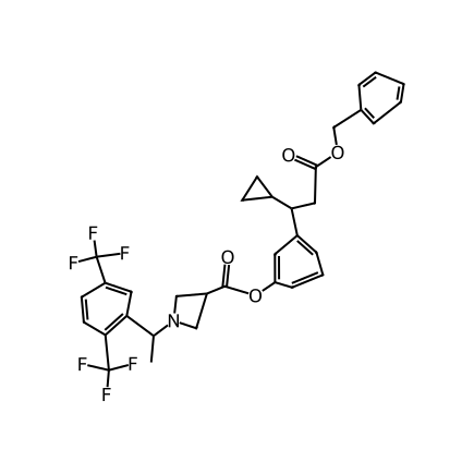 CC(c1cc(C(F)(F)F)ccc1C(F)(F)F)N1CC(C(=O)Oc2cccc(C(CC(=O)OCc3ccccc3)C3CC3)c2)C1